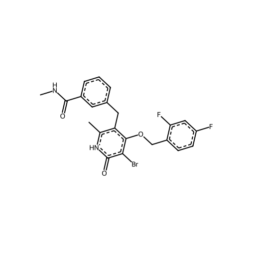 CNC(=O)c1cccc(Cc2c(C)[nH]c(=O)c(Br)c2OCc2ccc(F)cc2F)c1